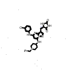 CC(C)CN1CCC(Nc2cc(Nc3cccc(Cl)c3)nc3c(/C=C4/NC(=O)NC4=O)cnn23)CC1